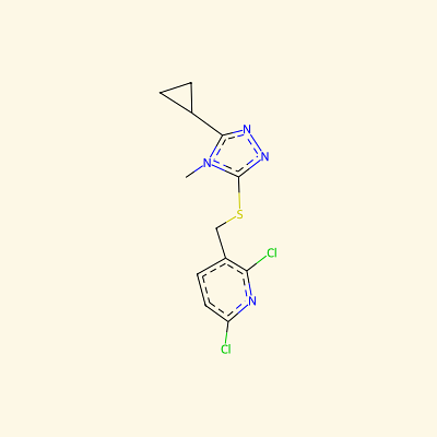 Cn1c(SCc2ccc(Cl)nc2Cl)nnc1C1CC1